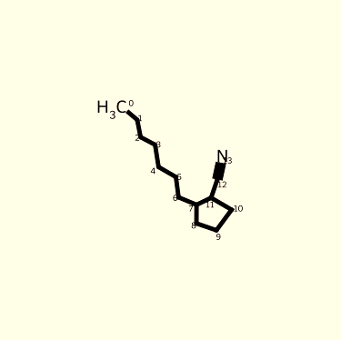 CCCCCCCC1CCCC1C#N